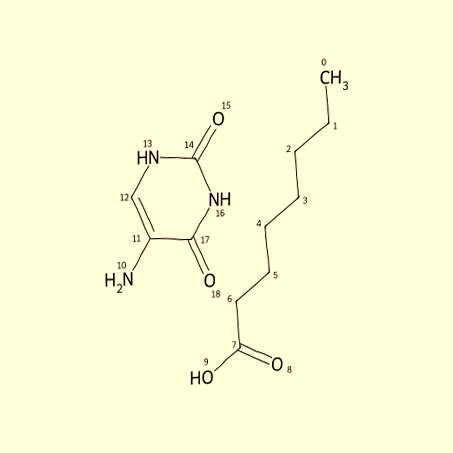 CCCCCCCC(=O)O.Nc1c[nH]c(=O)[nH]c1=O